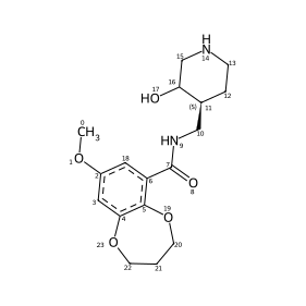 COc1cc2c(c(C(=O)NC[C@@H]3CCNCC3O)c1)OCCCO2